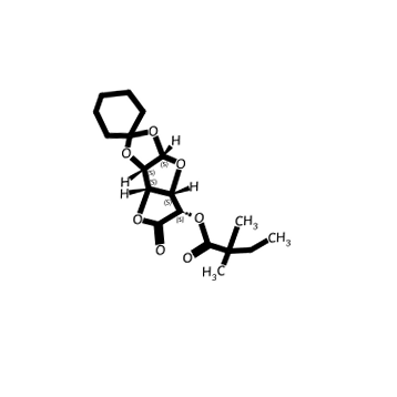 CCC(C)(C)C(=O)O[C@@H]1C(=O)O[C@@H]2[C@@H]3OC4(CCCCC4)O[C@@H]3O[C@@H]21